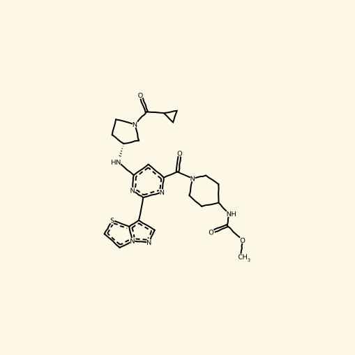 COC(=O)NC1CCN(C(=O)c2cc(N[C@@H]3CCN(C(=O)C4CC4)C3)nc(-c3cnn4ccsc34)n2)CC1